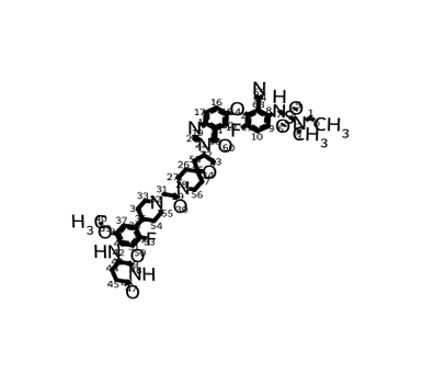 CCN(C)S(=O)(=O)Nc1ccc(F)c(Oc2ccc3ncn([C@H]4COC5(CCN(C(=O)CN6CCC(c7cc(OC)c(NC8CCC(=O)NC8=O)cc7F)CC6)CC5)C4)c(=O)c3c2)c1C#N